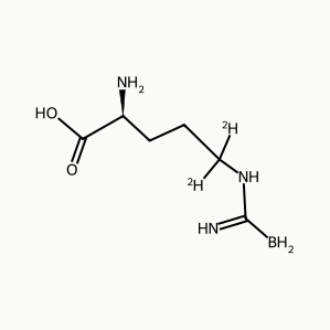 [2H]C([2H])(CC[C@H](N)C(=O)O)NC(B)=N